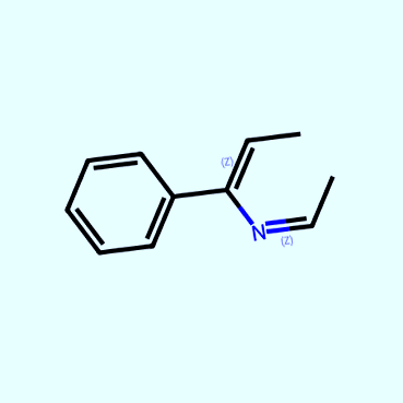 C/C=N\C(=C/C)c1ccccc1